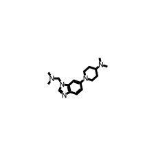 CN(C)Cn1cnc2ccc(N3CCC(N(C)C)CC3)cc21